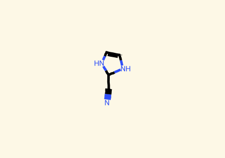 N#CC1N[C]=CN1